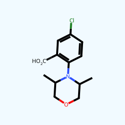 CC1COCC(C)N1c1ccc(Cl)cc1C(=O)O